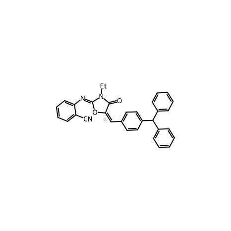 CCN1C(=O)/C(=C\c2ccc(C(c3ccccc3)c3ccccc3)cc2)OC1=Nc1ccccc1C#N